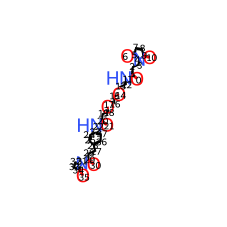 O=C(CCN1C(=O)C=CC1=O)NCCOCCOCCC(=O)Nc1ccc(CCC(=O)N2CCC2=O)cc1